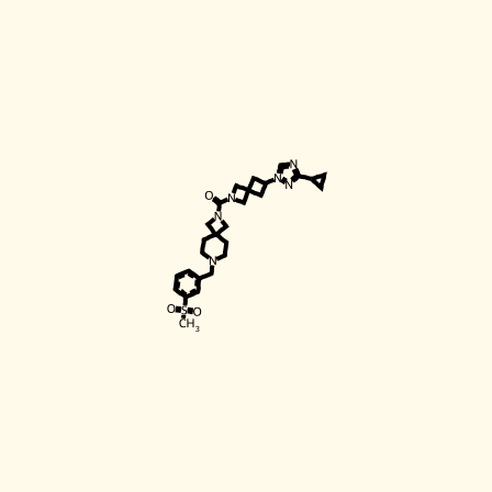 CS(=O)(=O)c1cccc(CN2CCC3(CC2)CN(C(=O)N2CC4(CC(n5cnc(C6CC6)n5)C4)C2)C3)c1